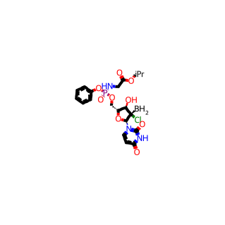 B[C@]1(Cl)[C@H](O)[C@@H](COP(=O)(NCC(=O)OC(C)C)Oc2ccccc2)O[C@H]1n1ccc(=O)[nH]c1=O